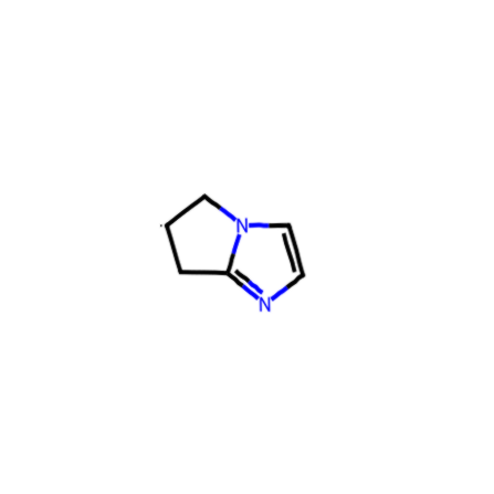 [CH]1Cc2nccn2C1